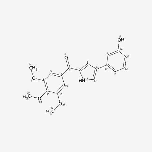 COc1cc(C(=O)c2cc(-c3cccc(O)c3)c[nH]2)cc(OC)c1OC